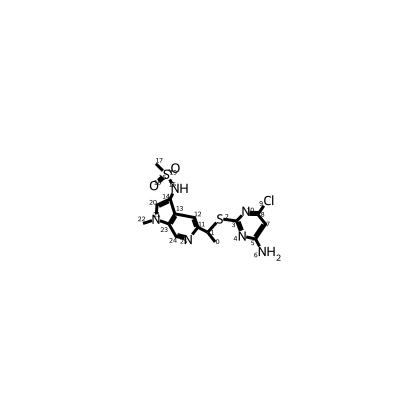 CC(Sc1nc(N)cc(Cl)n1)c1cc2c(NS(C)(=O)=O)cn(C)c2cn1